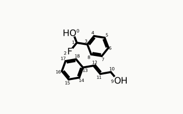 OC(F)c1ccccc1.OCC=Cc1ccccc1